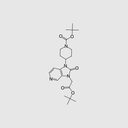 CC(C)(C)OC(=O)Cn1c(=O)n(C2CCN(C(=O)OC(C)(C)C)CC2)c2ccncc21